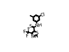 Cc1cc(Cl)cc(NC(=S)c2snnc2C(F)(F)F)c1